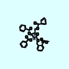 O=C(OC[C@H]1OC(OCc2ccccc2[N+](=O)[O-])[C@H](OC(=O)c2ccccc2)[C@@H]1OC(=O)c1ccccc1)c1ccccc1